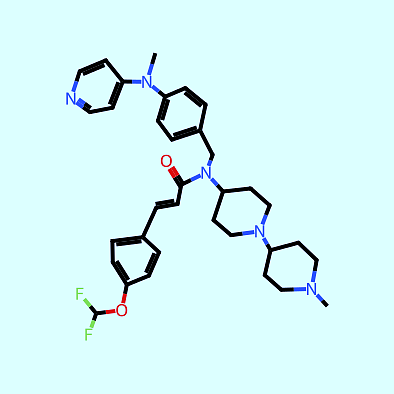 CN1CCC(N2CCC(N(Cc3ccc(N(C)c4ccncc4)cc3)C(=O)/C=C/c3ccc(OC(F)F)cc3)CC2)CC1